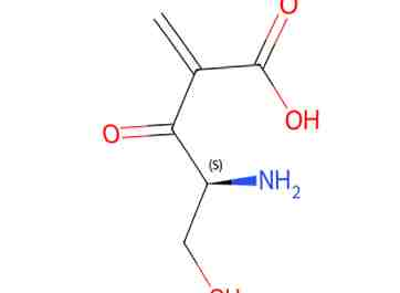 C=C(C(=O)O)C(=O)[C@@H](N)CO